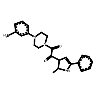 Bc1cccc(N2CCN(C(=O)C(=O)C3C=C(c4ccccc4)NC3C)CC2)c1